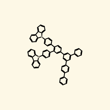 c1ccc(-c2ccc(-c3cc(-c4ccccc4)cc(-c4ccc(-c5ccc(-n6c7ccccc7c7ccccc76)cc5)c(-c5ccc(-n6c7ccccc7c7ccccc76)cc5)c4)c3)cc2)cc1